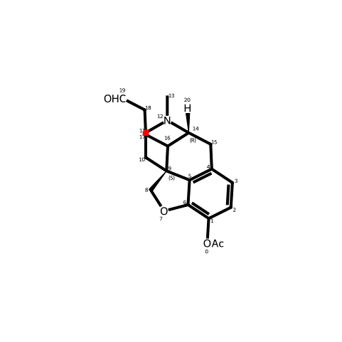 CC(=O)Oc1ccc2c3c1OC[C@]31CCN(C)[C@H](C2)C1CCC=O